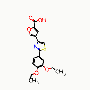 CCOc1ccc(-c2nc(-c3coc(C(=O)O)c3)cs2)cc1OCC